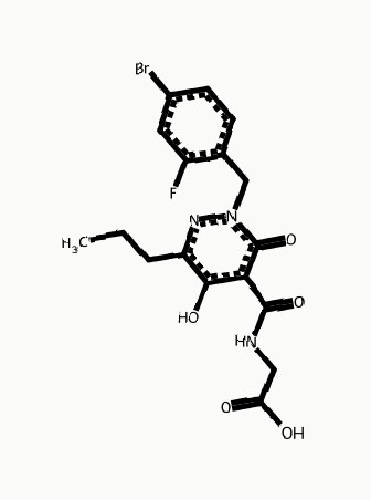 CCCc1nn(Cc2ccc(Br)cc2F)c(=O)c(C(=O)NCC(=O)O)c1O